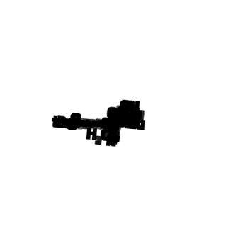 Cc1ncsc1-c1ccc(CNC(=O)[C@@H]2C[C@@H](O)CN2C(=O)[C@@H](NC(=O)C2(F)CC2)C(C)(C)C)c(OCCCCCCCCCC(=O)OC(C)(C)C)c1